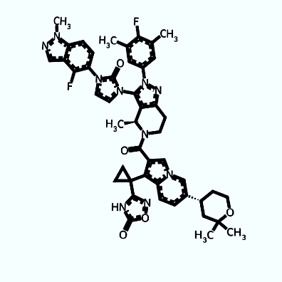 Cc1cc(-n2nc3c(c2-n2ccn(-c4ccc5c(cnn5C)c4F)c2=O)[C@H](C)N(C(=O)c2cn4cc([C@@H]5CCOC(C)(C)C5)ccc4c2C2(c4noc(=O)[nH]4)CC2)CC3)cc(C)c1F